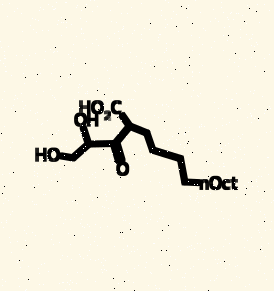 CCCCCCCCCCCCC(C(=O)O)C(=O)C(O)CO